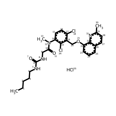 CCCCCNC(=O)NCC(=O)N(C)c1ccc(Cl)c(COc2cccc3ccc(C)nc23)c1Cl.Cl